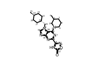 CC1CCCN(c2nc(-c3noc(=O)[nH]3)nc3ncn(C[C@H]4CC[C@H](C)CC4)c23)C1